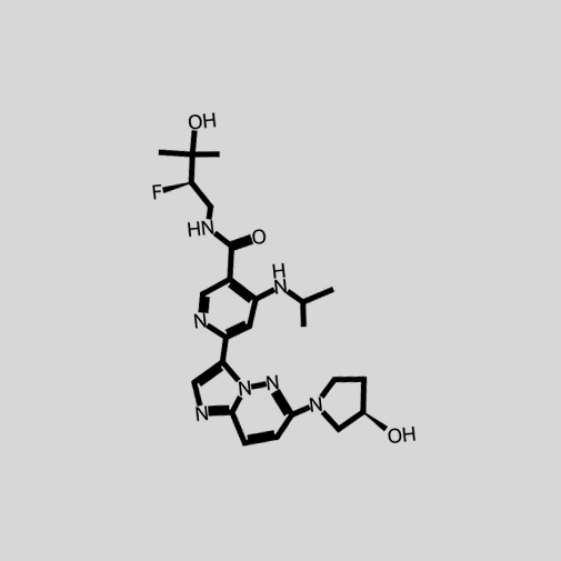 CC(C)Nc1cc(-c2cnc3ccc(N4CC[C@@H](O)C4)nn23)ncc1C(=O)NC[C@@H](F)C(C)(C)O